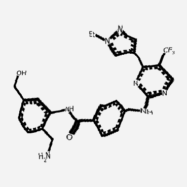 CCn1cc(-c2nc(Nc3ccc(C(=O)Nc4cc(CO)ccc4CN)cc3)ncc2C(F)(F)F)cn1